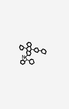 c1ccc(-c2ccc(-c3c4ccccc4c(-c4ccccc4)c4cc(C5=Nc6ccccc6C5c5ccccc5)ccc34)cc2)cc1